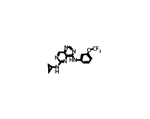 FC(F)(F)Oc1cccc(Nc2ncnc3cnc(NC4CC4)nc23)c1